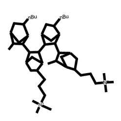 CCCCC1CC2CC1C(C1C3CC(CCC[N+](C)(C)C)C(C3)C1C1C3CC(CCCC)C(C3)C1C1C3CC(CCC[N+](C)(C)C)C(C3)C1C)C2C